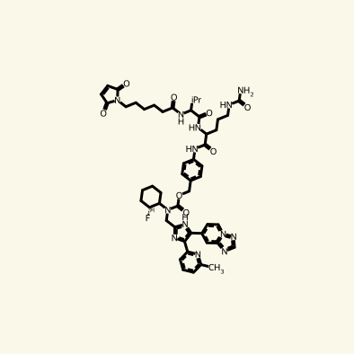 Cc1cccc(-c2nc(CN(C(=O)OCc3ccc(NC(=O)C(CCCNC(N)=O)NC(=O)C(NC(=O)CCCCCN4C(=O)C=CC4=O)C(C)C)cc3)C3CCCC[C@H]3F)[nH]c2-c2ccn3ncnc3c2)n1